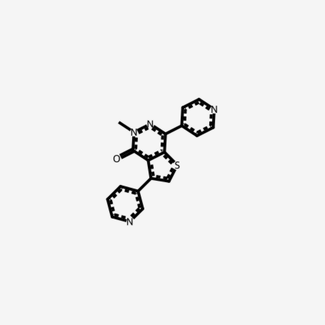 Cn1nc(-c2ccncc2)c2scc(-c3cccnc3)c2c1=O